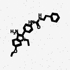 CCOc1ccc2c(N)c(-c3ccc(NC(=O)NCCc4ccccc4)cc3)n(CC)c2c1